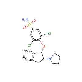 NS(=O)(=O)c1cc(Cl)c(O[C@H]2c3ccccc3C[C@@H]2N2CCCC2)c(Cl)c1